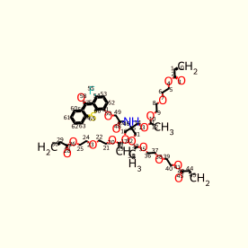 C=CC(=O)OCCOCCOC(C)OCC(COC(C)OCCOCCOC(=O)C=C)(COC(C)OCCOCCOC(=O)C=C)NC(=O)COc1ccc(F)c2c(=O)c3ccccc3sc12